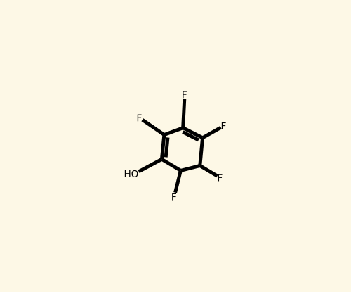 OC1=C(F)C(F)=C(F)C(F)C1F